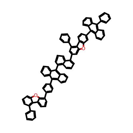 c1ccc(-c2c3ccccc3c(-c3ccc4c(c3)oc3cc(-c5cccc6c(-c7c8ccccc8c(-c8ccc(-c9cccc%10c9oc9cccc(-c%11ccccc%11)c9%10)cc8)c8ccccc78)cccc56)cc(-c5ccccc5)c34)c3ccccc23)cc1